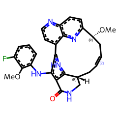 COc1c(F)cccc1Nc1c2[nH]c3c1C(=O)NC[C@H]3C/C=C\C[C@@H](OC)c1ccc3nccc-2c3n1